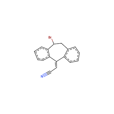 N#C/C=C1/c2ccccc2CC(Br)c2ccccc21